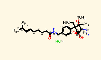 CCC(CC)(c1ccc(CNC(=O)CCCCC=CC(C)C)cc1)C(C)(OC)[C@H](N)C(=O)O.Cl